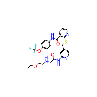 CCOCCNCC(=O)Nc1cc(CSc2ncccc2C(=O)Nc2ccc(OC(F)(F)F)cc2)ccn1